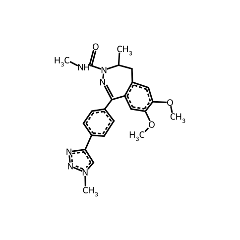 CNC(=O)N1N=C(c2ccc(-c3cn(C)nn3)cc2)c2cc(OC)c(OC)cc2CC1C